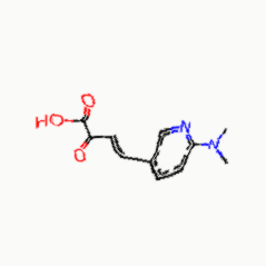 CN(C)c1ccc(C=CC(=O)C(=O)O)cn1